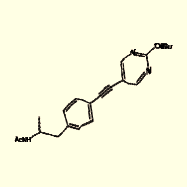 CC(=O)NC(C)Cc1ccc(C#Cc2cnc(OCC(C)C)nc2)cc1